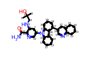 CC(C)(O)CNc1cc(-n2c3ccccc3c3c(-c4cnc5ccccc5c4)cccc32)cnc1C(N)=O